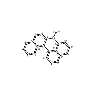 OB1c2ccc3ccccc3c2-c2cccc3cccc1c23